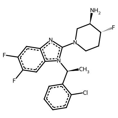 C[C@@H](c1ccccc1Cl)n1c(N2CC[C@@H](F)[C@H](N)C2)nc2cc(F)c(F)cc21